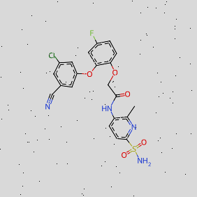 Cc1nc(S(N)(=O)=O)ccc1NC(=O)COc1ccc(F)cc1Oc1cc(Cl)cc(C#N)c1